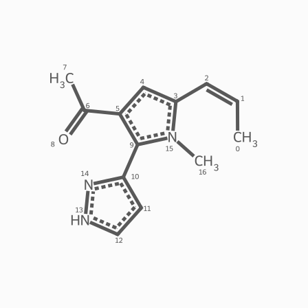 C/C=C\c1cc(C(C)=O)c(-c2cc[nH]n2)n1C